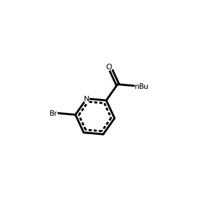 CCCCC(=O)c1cccc(Br)n1